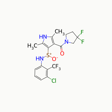 Cc1[nH]c(C)c([S+]([O-])Nc2cccc(Cl)c2C(F)(F)F)c1C(=O)N1CCC(F)(F)C1